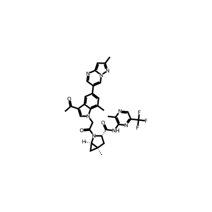 CC(=O)c1cn(CC(=O)N2[C@H](C(=O)Nc3nc(C(F)(F)F)cnc3C)C[C@@]3(C)C[C@@H]23)c2c(C)cc(-c3cnc4cc(C)nn4c3)cc12